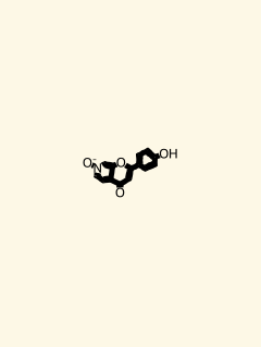 O=c1cc(-c2ccc(O)cc2)oc2c[n+]([O-])ccc12